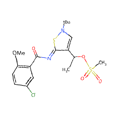 COc1ccc(Cl)cc1C(=O)N=c1sn(C(C)(C)C)cc1C(C)OS(C)(=O)=O